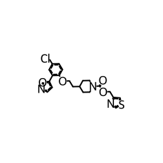 O=C(OCc1cscn1)N1CCC(CCOc2ccc(Cl)cc2-c2ccno2)CC1